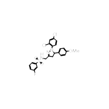 COc1ccc(C2CC(CNS(=O)(=O)c3cccc(F)c3)=NN2c2ccc(Cl)cc2Cl)cc1